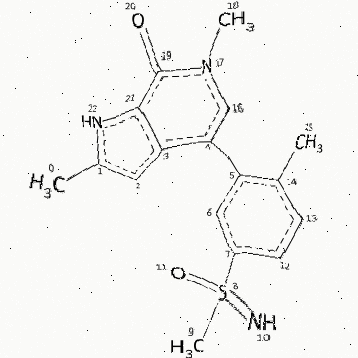 Cc1cc2c(-c3cc(S(C)(=N)=O)ccc3C)cn(C)c(=O)c2[nH]1